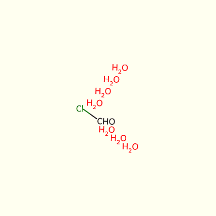 O.O.O.O.O.O.O.O=CCl